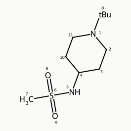 CC(C)(C)N1CCC(NS(C)(=O)=O)CC1